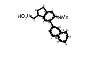 CNc1cc2c(cc1-c1ccc3ccccc3c1)C(CC(=O)O)CC2